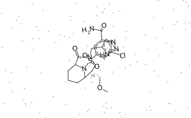 COC[C@H]1CN(Cc2cnn[nH]2)C(=O)C2CCCC1N2S(=O)(=O)c1cc(Cl)cc(C(N)=O)c1